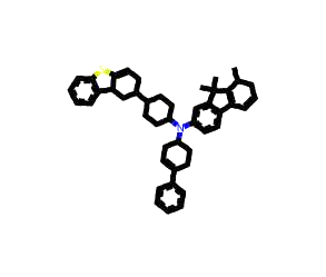 CC1CC=CC2=C1C(C)(C)c1cc(N(C3CC=C(c4ccccc4)CC3)C3CCC(C4CC=C5Sc6ccccc6C5C4)CC3)ccc12